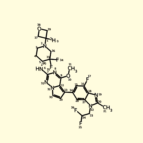 [2H]C1(N2CC[C@@H](Nc3nc(OC)c4c(-c5cc(F)c6nc(C)n(CC(F)F)c6c5)ccn4n3)C(F)(F)C2)COC1